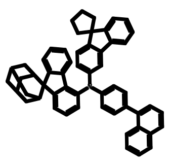 c1ccc2c(c1)-c1cc(N(c3ccc(-c4cccc5ccccc45)cc3)c3cccc4c3-c3ccccc3C43C4CC5CC(C4)CC3C5)ccc1C21CCCC1